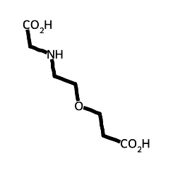 O=C(O)CCOCCNCC(=O)O